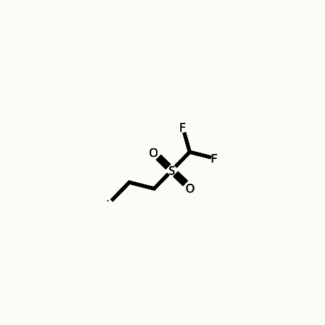 [CH2]CCS(=O)(=O)C(F)F